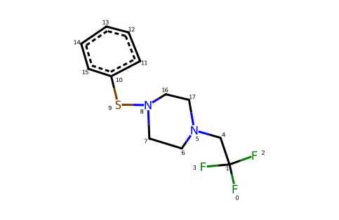 FC(F)(F)CN1CCN(Sc2ccccc2)CC1